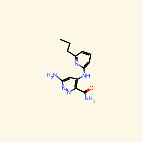 CCCc1cccc(Nc2cc(N)nnc2C(N)=O)n1